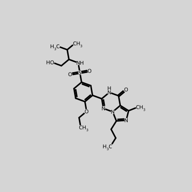 CCCc1nc(C)c2c(=O)[nH]c(-c3cc(S(=O)(=O)NC(CO)C(C)C)ccc3OCC)nn12